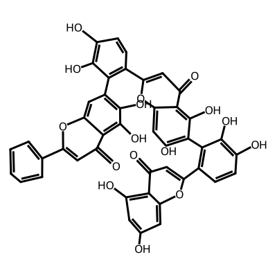 O=c1cc(-c2ccc(O)c(O)c2-c2c(O)cc3oc(-c4ccc(O)c(O)c4-c4cc5oc(-c6ccccc6)cc(=O)c5c(O)c4O)cc(=O)c3c2O)oc2cc(O)cc(O)c12